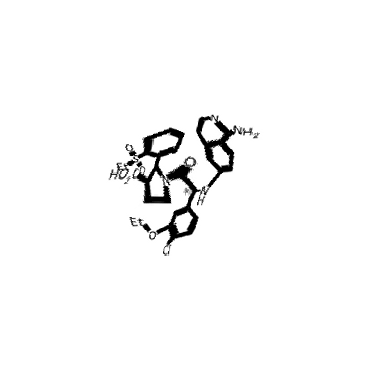 CCOc1cc([C@@H](Nc2ccc3c(N)nccc3c2)C(=O)N2CCC(C(=O)O)C2c2ccccc2S(=O)(=O)CC)ccc1Cl